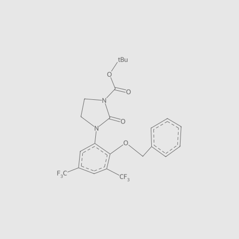 CC(C)(C)OC(=O)N1CCN(c2cc(C(F)(F)F)cc(C(F)(F)F)c2OCc2ccccc2)C1=O